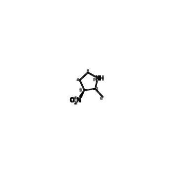 CC1NC[CH][C@@H]1[N+](=O)[O-]